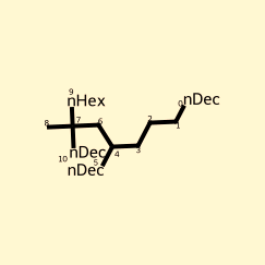 CCCCCCCCCCCCCC(CCCCCCCCCC)CC(C)(CCCCCC)CCCCCCCCCC